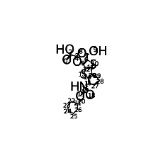 O=C(O)COc1c(C(=O)O)sc2c1sc1c(NC(=O)OCC3CCCCC3)cccc12